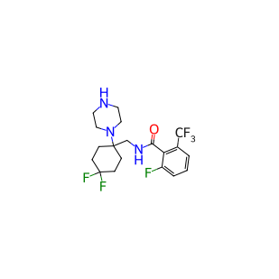 O=C(NCC1(N2CCNCC2)CCC(F)(F)CC1)c1c(F)cccc1C(F)(F)F